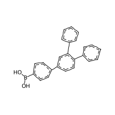 OB(O)c1ccc(-c2ccc(-c3ccccc3)c(-c3ccccc3)c2)cc1